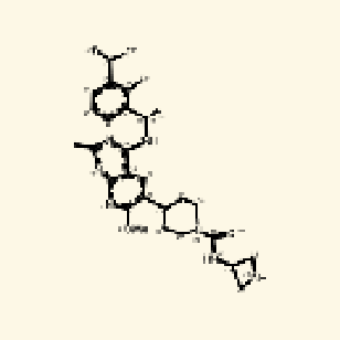 COc1nc2nc(C)nc(N[C@H](C)c3cccc(C(F)F)c3F)c2cc1C1CCN(C(=O)NC2CNC2)CC1